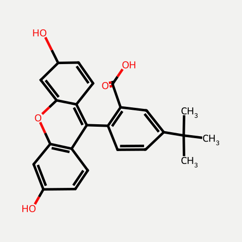 CC(C)(C)c1ccc(C2=C3C=CC(O)C=C3Oc3cc(O)ccc32)c(C(=O)O)c1